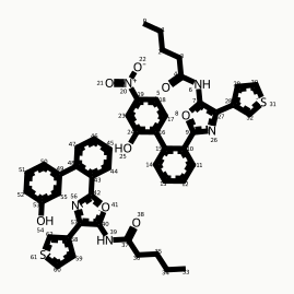 CCCCC(=O)Nc1oc(-c2ccccc2-c2ccc([N+](=O)[O-])cc2O)nc1-c1ccsc1.CCCCC(=O)Nc1oc(-c2ccccc2-c2cccc(O)c2)nc1-c1ccsc1